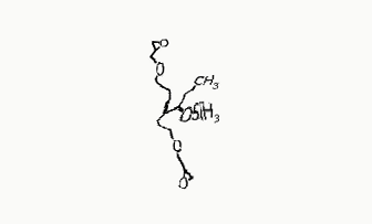 CCCC(O[SiH3])C(CCCOCC1CO1)CCCOCC1CO1